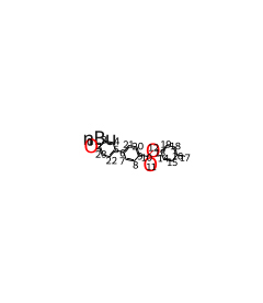 CCCCOc1ccc(-c2ccc(C(=O)Oc3ccc(C)cc3)cc2)cc1